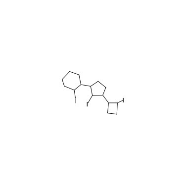 IC1CCCCC1C1CCC(C2CCC2I)C1I